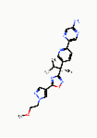 COCCn1cc(-c2nc([C@](C)(c3ccc(-c4cnc(N)cn4)nc3)C(C)C)no2)cn1